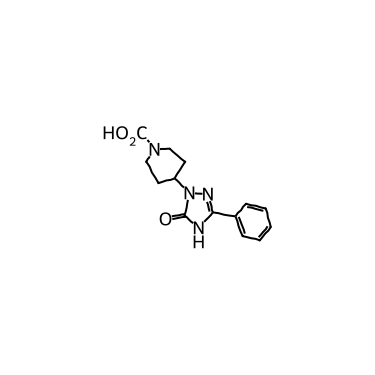 O=C(O)N1CCC(n2nc(-c3ccccc3)[nH]c2=O)CC1